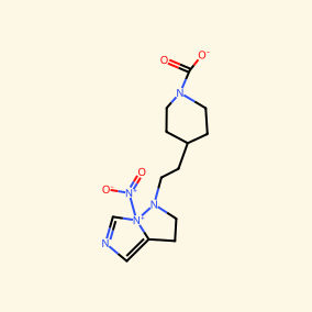 O=C([O-])N1CCC(CCN2CCC3=CN=C[N+]32[N+](=O)[O-])CC1